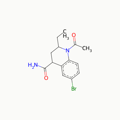 CCC1CC(C(N)=O)c2cc(Br)ccc2N1C(C)=O